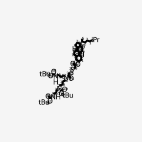 CC(C)CCCC(C)[C@H]1CC[C@H]2[C@@H]3CC=C4C[C@@H](OC(=O)CSSCC(=O)N(CCCCN(CCCNC(=O)OC(C)(C)C)C(=O)OC(C)(C)C)CCCNC(=O)OC(C)(C)C)CC[C@]4(C)[C@H]3CC[C@]12C